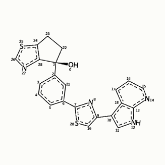 O[C@]1(c2cccc(-c3nc(-c4c[nH]c5ncccc45)cs3)c2)CCc2scnc21